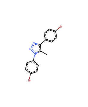 Cc1c(-c2ccc(Br)cc2)nnn1-c1ccc(Br)cc1